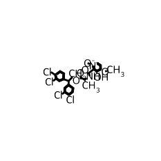 COc1cc[n+]([O-])c(C(=O)N[C@@H](C)C(=O)O[C@@H](C)C(c2ccc(Cl)c(Cl)c2)c2ccc(Cl)c(Cl)c2)c1O